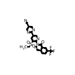 CCS(=O)(=O)c1cc(-c2ncc(C#N)cn2)cnc1-n1ncc2ccc(C(F)(F)F)cc2c1=O